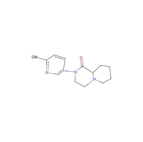 O=Nc1ccc(N2CCN3CCCCC3C2=O)cn1